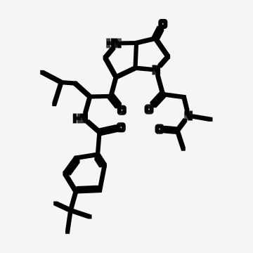 CC(=O)N(C)CC(=O)N1CC(=O)C2NCC(C(=O)C(CC(C)C)NC(=O)c3ccc(C(C)(C)C)cc3)C21